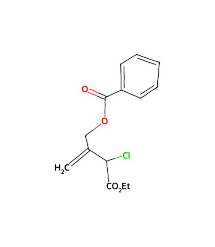 C=C(COC(=O)c1ccccc1)C(Cl)C(=O)OCC